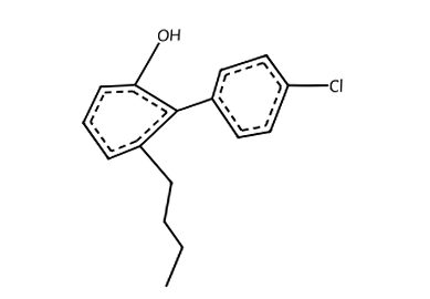 CCCCc1cccc(O)c1-c1ccc(Cl)cc1